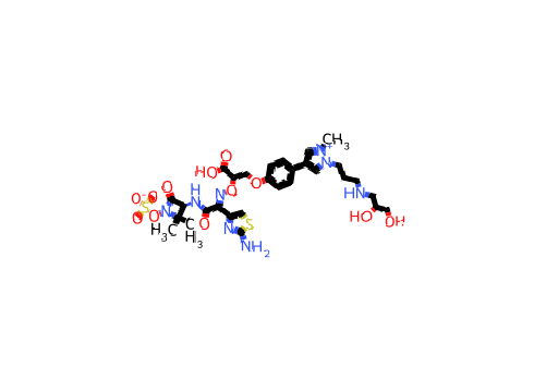 C[n+]1cc(-c2ccc(OCC(O/N=C(/C(=O)N[C@@H]3C(=O)N(OS(=O)(=O)[O-])C3(C)C)c3csc(N)n3)C(=O)O)cc2)cn1CCCNCC(O)CO